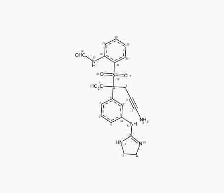 NC#CCC(C(=O)O)(c1cccc(NC2=NCCN2)c1)S(=O)(=O)c1ccccc1NC=O